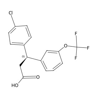 O=C(O)C[C@@H](c1ccc(Cl)cc1)c1cccc(OC(F)(F)F)c1